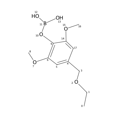 CCOCc1cc(OC)c(OB(O)O)c(OC)c1